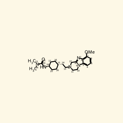 COc1cccc2c1nc1n2CCN(CC[C@H]2CC[C@H](NC(=O)N(C)C)CC2)C1